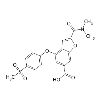 CN(C)C(=O)c1cc2c(Oc3ccc(S(C)(=O)=O)cc3)cc(C(=O)O)cc2o1